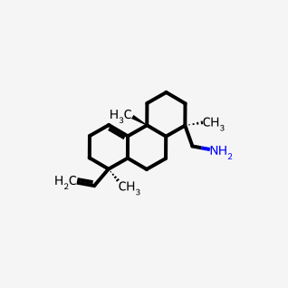 C=C[C@@]1(C)CCC=C2C1CCC1[C@](C)(CN)CCC[C@@]21C